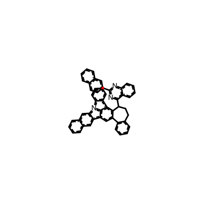 c1ccc2c(c1)CCC(c1nc(-c3ccc4ccccc4c3)nc3ccccc13)c1c-2cc2c3cc4ccccc4cc3n3c4ccccc4c1c23